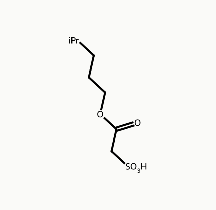 CC(C)CCCOC(=O)CS(=O)(=O)O